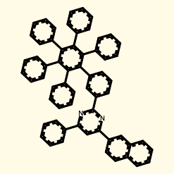 c1ccc(-c2cc(-c3ccc4ccccc4c3)nc(-c3cccc(-c4c(-c5ccccc5)c(-c5ccccc5)c(-c5ccccc5)c(-c5ccccc5)c4-c4ccccc4)c3)n2)cc1